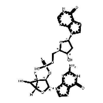 Nc1nc2c(ncn2[C@@H]2O[C@@H]3C(O)[C@]3(F)[C@H]2OP(O)(=S)OC[C@H]2O[C@@H](n3cnc4c(=O)[nH]cnc43)C[C@@H]2O)c(=O)[nH]1